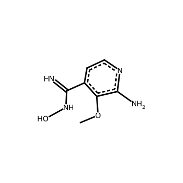 COc1c(C(=N)NO)ccnc1N